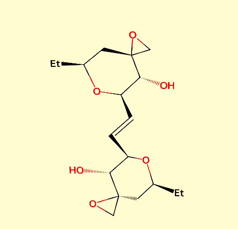 CC[C@H]1C[C@@]2(CO2)[C@H](O)[C@@H](/C=C/[C@H]2O[C@@H](CC)C[C@@]3(CO3)[C@@H]2O)O1